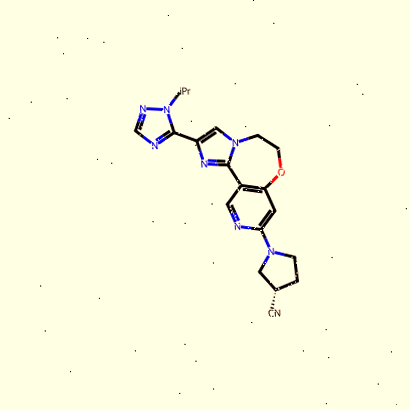 CC(C)n1ncnc1-c1cn2c(n1)-c1cnc(N3CC[C@H](C#N)C3)cc1OCC2